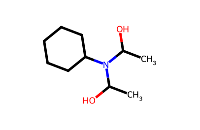 CC(O)N(C(C)O)C1CCCCC1